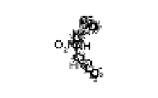 O=C(Cc1ccccc1)N[C@H]1CC[C@H](CNc2nc(NCc3ccccc3OC(F)(F)F)ncc2[N+](=O)[O-])CC1